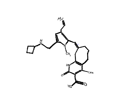 C=Cc1cc(CNC2CCC2)n(C)c1/C=C1/CCCc2c([nH]c(=O)c(C(=O)O)c2O)C1